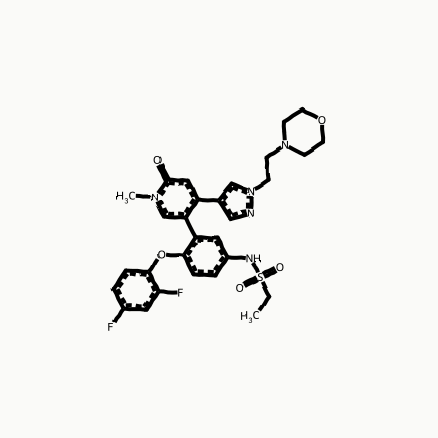 CCS(=O)(=O)Nc1ccc(Oc2ccc(F)cc2F)c(-c2cn(C)c(=O)cc2-c2cnn(CCN3CCOCC3)c2)c1